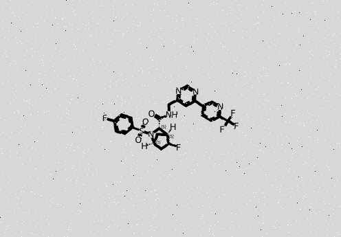 O=C(NCc1cc(-c2ccc(C(F)(F)F)nc2)ncn1)[C@@H]1[C@@H]2C[C@@H](CC2F)N1S(=O)(=O)c1ccc(F)cc1